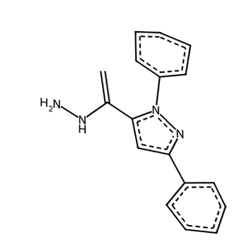 C=C(NN)c1cc(-c2ccccc2)nn1-c1ccccc1